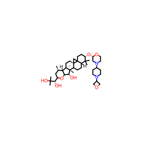 C[C@@H]1CC([C@H](O)C(C)(C)O)OC2[C@H]1[C@@]1(C)CC[C@@]34CC35CC[C@H](O[C@H]3CN(C6CCN(C7COC7)CC6)CCO3)C(C)(C)[C@@H]5CCC4[C@]1(C)[C@H]2O